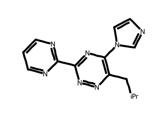 CC(C)Cc1nnc(-c2ncccn2)nc1-n1ccnc1